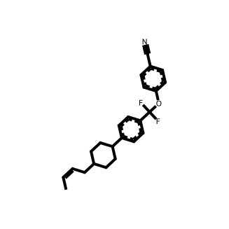 C/C=C\CC1CCC(c2ccc(C(F)(F)Oc3ccc(C#N)cc3)cc2)CC1